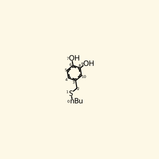 CCCCSCc1ccc(O)c(O)c1